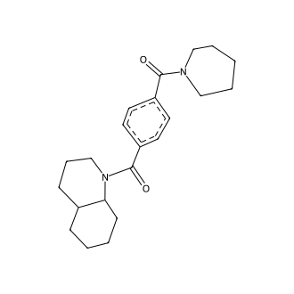 O=C(c1ccc(C(=O)N2CCCC3CCCCC32)cc1)N1CCCCC1